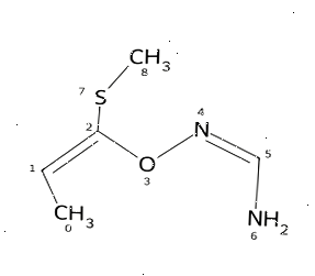 C/C=C(\O/N=C\N)SC